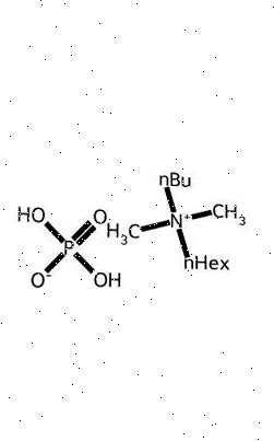 CCCCCC[N+](C)(C)CCCC.O=P([O-])(O)O